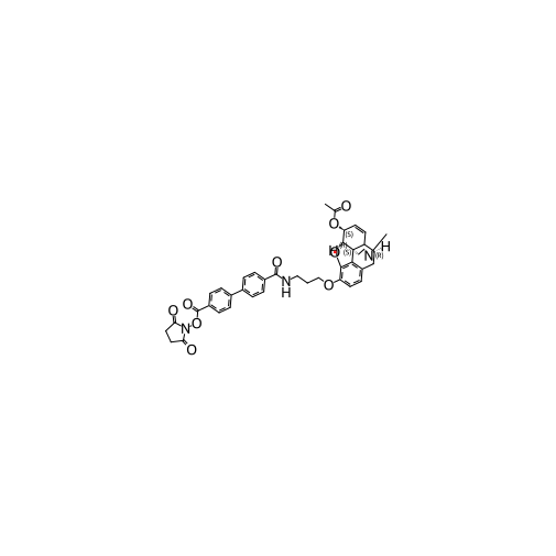 CC(=O)O[C@H]1C=CC2[C@H]3Cc4ccc(OCCCNC(=O)c5ccc(-c6ccc(C(=O)ON7C(=O)CCC7=O)cc6)cc5)c5c4[C@@]2(CCN3C)[C@H]1O5